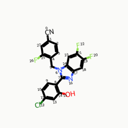 N#Cc1ccc(Cn2c(-c3ccc(Cl)cc3O)nc3cc(F)c(F)cc32)c(F)c1